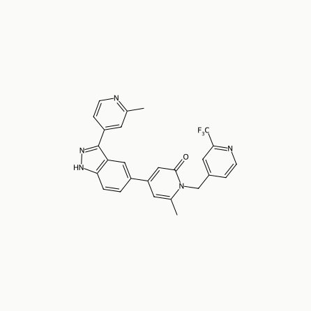 Cc1cc(-c2n[nH]c3ccc(-c4cc(C)n(Cc5ccnc(C(F)(F)F)c5)c(=O)c4)cc23)ccn1